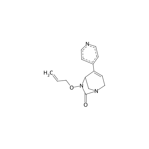 C=CCON1C(=O)N2CC=C(c3ccncc3)C1C2